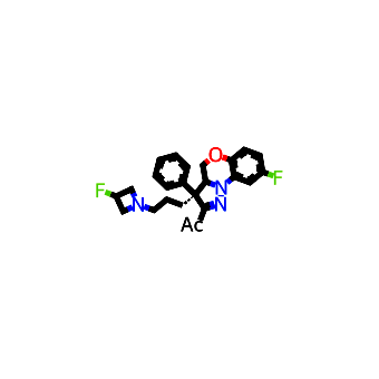 CC(=O)C1=NN2c3cc(F)ccc3OCC2[C@]1(CCCN1CC(F)C1)c1ccccc1